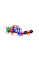 COC(C)(C)C(=O)N[C@@H](CCCNC(=N)NC(=O)OCc1ccc(OC(=O)c2ccccc2)cc1)C(=O)COC(C(F)(F)F)C(F)(F)F